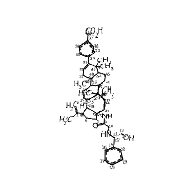 C=C(C)[C@@H]1CC[C@]2(NC(=O)CN[C@H](CO)c3ccccc3)CC[C@]3(C)[C@H](CCC4[C@@]5(C)CC=C(c6ccc(C(=O)O)cc6)C(C)(C)C5CC[C@]43C)C12